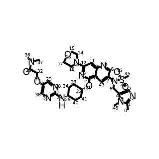 Cc1ncc(CN(c2cnc3cc(N4CCOCC4)nc(O[C@H]4CC[C@@H](Nc5ncc(OCC(=O)N(C)C)cn5)CC4)c3c2)S(C)(=O)=O)n1C